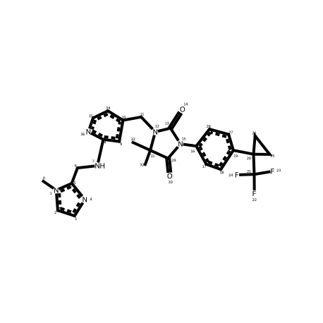 Cn1ccnc1CNc1cc(CN2C(=O)N(c3ccc(C4(C(F)(F)F)CC4)cc3)C(=O)C2(C)C)ccn1